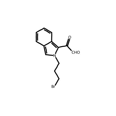 O=CC(=O)c1c2ccccc2cn1CCCBr